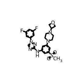 CS(=O)(=O)c1cc(Nc2ncn(-c3cc(F)cc(F)c3)n2)cc(N2CCN(C3COC3)CC2)c1